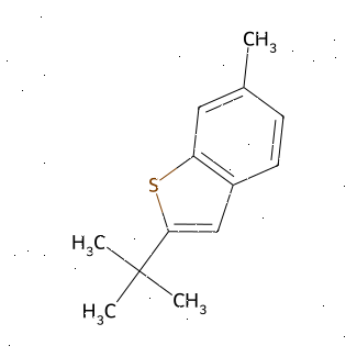 Cc1ccc2cc(C(C)(C)C)sc2c1